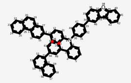 c1cc(-c2ccccc2N(c2ccc(-c3ccc4c(ccc5ccccc54)c3)cc2)c2ccc(-c3ccc4oc5ccccc5c4c3)cc2)cc(-c2cccc3ccccc23)c1